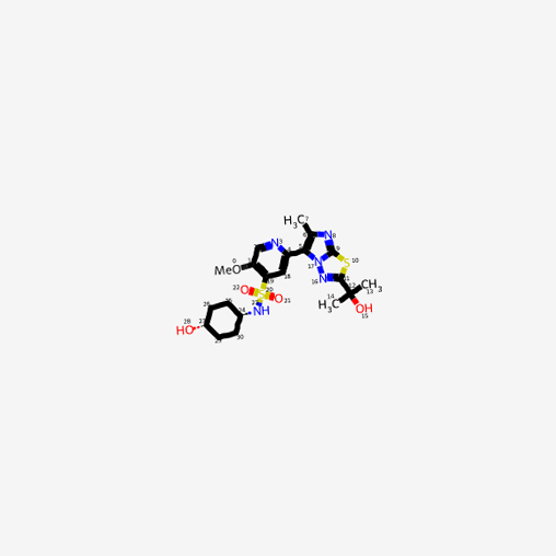 COc1cnc(-c2c(C)nc3sc(C(C)(C)O)nn23)cc1S(=O)(=O)N[C@H]1CC[C@@H](O)CC1